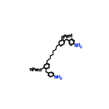 CCCCCc1cc(CCCCCCCc2ccc(Cc3ccc(N)cc3)c(CCCCC)c2)ccc1Cc1ccc(N)cc1